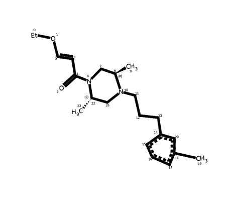 CCOC=CC(=O)N1C[C@@H](C)N(CCCc2cccc(C)c2)C[C@@H]1C